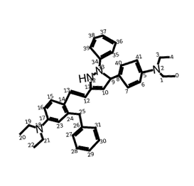 CCN(CC)c1ccc(C2C=C(C=Cc3ccc(N(CC)CC)cc3Cc3ccccc3)NN2c2ccccc2)cc1